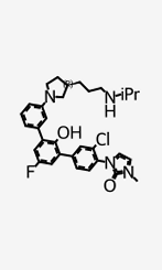 CC(C)NCCC[C@@H]1CCN(c2cccc(-c3cc(F)cc(-c4ccc(-n5ccn(C)c5=O)c(Cl)c4)c3O)c2)C1